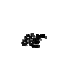 COc1ncc(-c2c(C)ncnc2N2CCOCC2)cc1NS(=O)(=O)c1cnn(C)c1